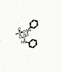 CS(=O)(=O)O[SH](Nc1ccccc1)SNc1ccccc1